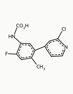 Cc1cc(F)c(NC(=O)O)cc1-c1ccnc(Cl)c1